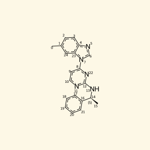 Cc1ccc2ncn(-c3ccnc(N[C@@H](C)c4ccccc4)n3)c2c1